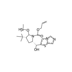 C=CCOC(=O)N1C(O[SiH](C)C)[C@@H](C(C)(C)C)C[C@H]1C(O)c1cn2cncc2s1